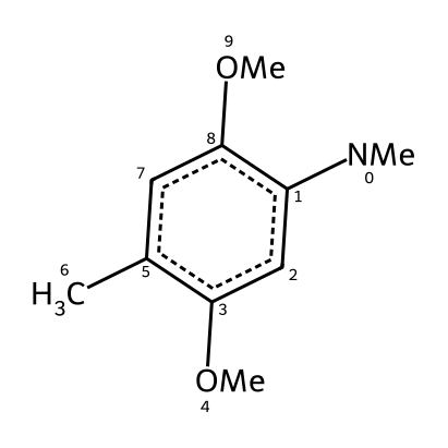 CNc1cc(OC)c(C)cc1OC